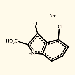 O=C(O)c1[nH]c2cccc(Cl)c2c1Cl.[Na]